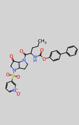 CCCC(NC(=O)Oc1ccc(-c2ccccc2)cc1)C(=O)N1CCC2C1C(=O)CN2S(=O)(=O)c1ccc[n+]([O-])c1